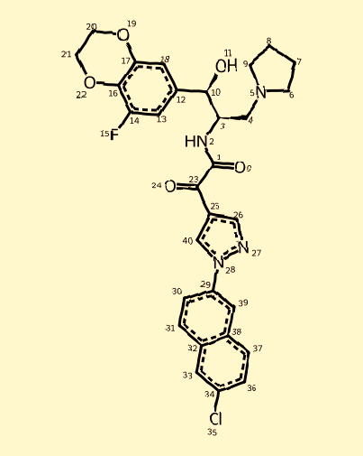 O=C(N[C@H](CN1CCCC1)[C@H](O)c1cc(F)c2c(c1)OCCO2)C(=O)c1cnn(-c2ccc3cc(Cl)ccc3c2)c1